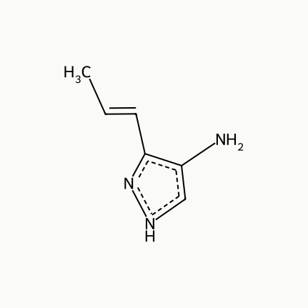 CC=Cc1n[nH]cc1N